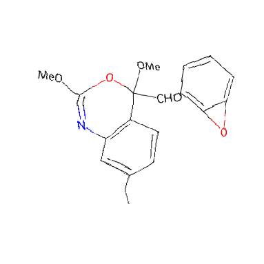 COC1=Nc2cc(C)ccc2C(C=O)(OC)O1.c1ccc2c(c1)O2